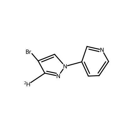 [2H]c1nn(-c2cccnc2)cc1Br